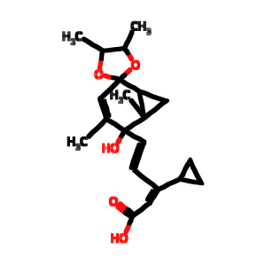 CC1=CC2(OC(C)C(C)O2)C2CC2(C)C1(O)/C=C/C(=C\C(=O)O)C1CC1